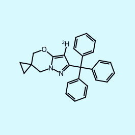 [2H]c1c(C(c2ccccc2)(c2ccccc2)c2ccccc2)nn2c1OCC1(CC1)C2